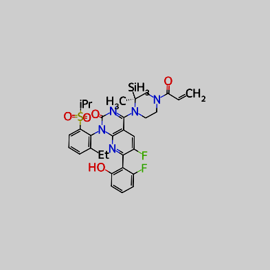 C=CC(=O)N1CCN(c2nc(=O)n(-c3c(CC)cccc3S(=O)(=O)C(C)C)c3nc(-c4c(O)cccc4F)c(F)cc23)[C@@](C)([SiH3])C1